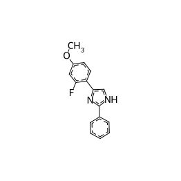 COc1ccc(-c2c[nH]c(-c3ccccc3)n2)c(F)c1